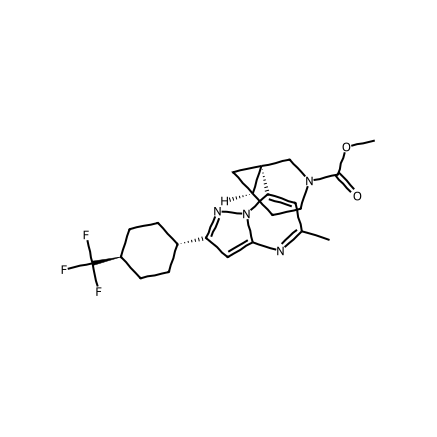 COC(=O)N1CC[C@H]2C[C@@]2(c2cc(C)nc3cc([C@H]4CC[C@H](C(F)(F)F)CC4)nn23)C1